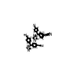 N#Cc1ccc(C(c2ccc(C#N)cc2)n2cncn2)cc1.N#Cc1ccc(C(c2ccc(C#N)cc2)n2cncn2)cc1